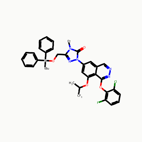 CCn1c(CO[Si](c2ccccc2)(c2ccccc2)C(C)(C)C)nn(-c2cc(OC(C)C(F)(F)F)c3c(Oc4c(F)cccc4Cl)nncc3c2)c1=O